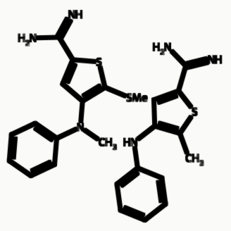 CSc1sc(C(=N)N)cc1N(C)c1ccccc1.Cc1sc(C(=N)N)cc1Nc1ccccc1